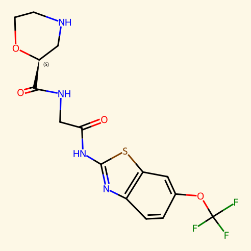 O=C(CNC(=O)[C@@H]1CNCCO1)Nc1nc2ccc(OC(F)(F)F)cc2s1